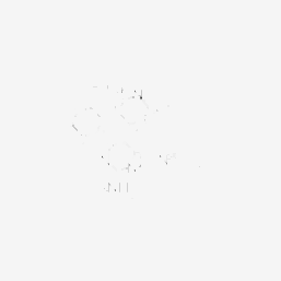 CCOC(=O)NCc1nc(N)nc(-c2ccccc2)c1-c1cc(C)nc(C(F)(F)F)c1